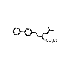 CCOC(=O)/C=C(\CC=C(C)C)CCc1ccc(-c2ccccc2)cc1